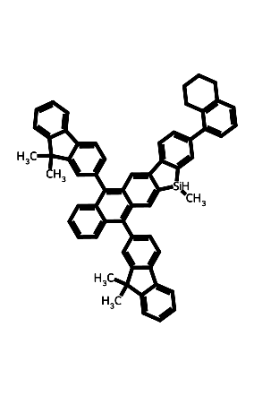 C[SiH]1c2cc(-c3cccc4c3CCCC4)ccc2-c2cc3c(-c4ccc5c(c4)C(C)(C)c4ccccc4-5)c4ccccc4c(-c4ccc5c(c4)C(C)(C)c4ccccc4-5)c3cc21